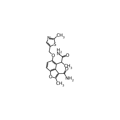 Cc1ncc(COc2ccc3oc(C)c(C(N)=O)c3c2C(C)C(N)=O)s1